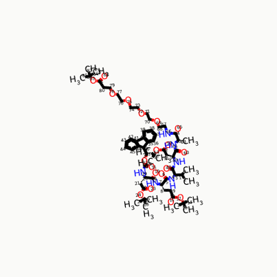 CC(C)C(NC(=O)[C@H](CCC(=O)OC(C)(C)C)NC(=O)[C@H](CC(=O)OC(C)(C)C)NC(=O)OCC1c2ccccc2-c2ccccc21)C(=O)N[C@@H](CC(=O)OC(C)(C)C)C(=O)N[C@@H](C)C(=O)NCCOCCOCCOCCOCCC(=O)OC(C)(C)C